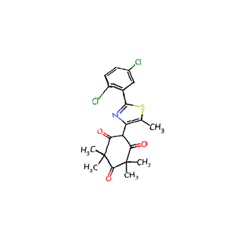 Cc1sc(-c2cc(Cl)ccc2Cl)nc1C1C(=O)C(C)(C)C(=O)C(C)(C)C1=O